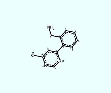 NCc1cccnc1-c1cc(Cl)ncn1